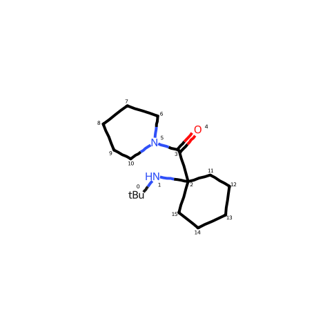 CC(C)(C)NC1(C(=O)N2CCCCC2)CCCCC1